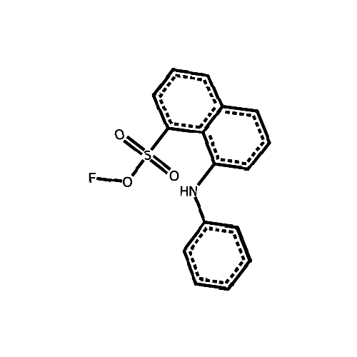 O=S(=O)(OF)c1cccc2cccc(Nc3ccccc3)c12